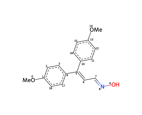 COc1ccc(C(=CC=NO)c2ccc(OC)cc2)cc1